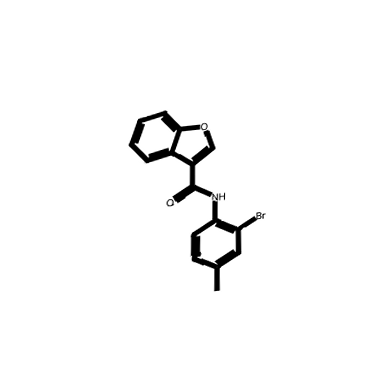 Cc1ccc(NC(=O)c2coc3ccccc23)c(Br)c1